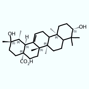 C[C@@H]1[C@H]2C3=CCC4[C@@]5(C)CC[C@H](O)C(C)(C)C5CC[C@@]4(C)[C@]3(C)CC[C@@]2(C(=O)O)CC[C@]1(C)O